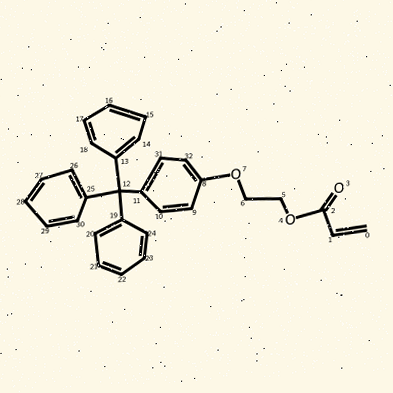 C=CC(=O)OCCOc1ccc(C(c2ccccc2)(c2ccccc2)c2ccccc2)cc1